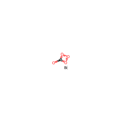 O=c1ooo1.[Bi]